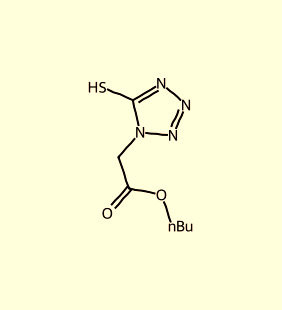 CCCCOC(=O)Cn1nnnc1S